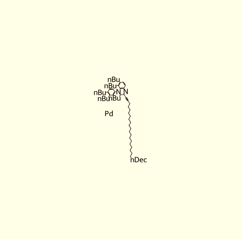 CCCCCCCCCCCCCCCCCCCCCCCCCCCCC#CC(=Nc1ccc(CCCC)c(CCCC)c1)C(CCCC)=Nc1ccc(CCCC)c(CCCC)c1.[Pd]